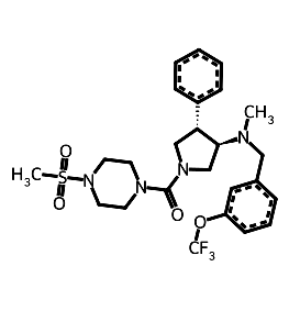 CN(Cc1cccc(OC(F)(F)F)c1)[C@H]1CN(C(=O)N2CCN(S(C)(=O)=O)CC2)C[C@@H]1c1ccccc1